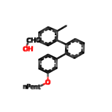 CCCCCOc1cccc(-c2ccccc2-c2ccccc2C)c1.O=CO